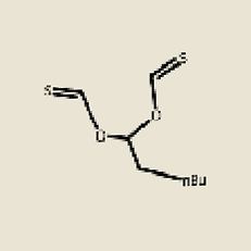 [CH2]CCCCC(OC=S)OC=S